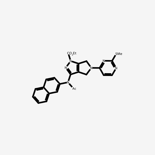 CCOC(=O)n1nc(N(C(C)=O)c2ccc3ccccc3c2)c2c1CN(c1ccnc(SC)n1)C2